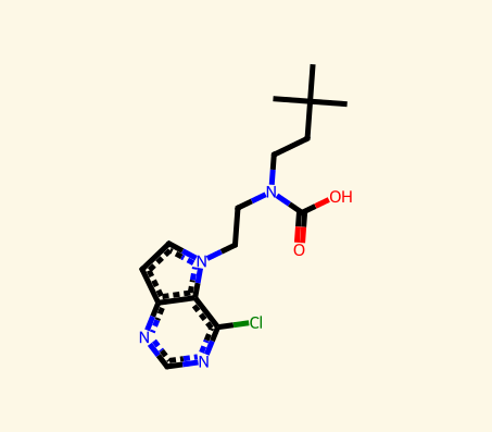 CC(C)(C)CCN(CCn1ccc2ncnc(Cl)c21)C(=O)O